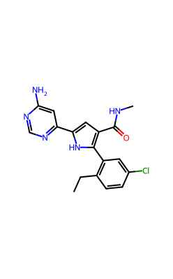 CCc1ccc(Cl)cc1-c1[nH]c(-c2cc(N)ncn2)cc1C(=O)NC